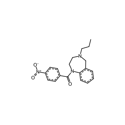 CCCN1CCN(C(=O)c2ccc([N+](=O)[O-])cc2)c2ccccc2C1